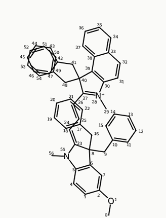 COc1ccc2c(c1)C(Cc1ccccc1)(Cc1ccccc1)/C(=C\C=C\C1=[N+](C)c3ccc4ccccc4c3C1(Cc1ccccc1)Cc1ccccc1)N2C